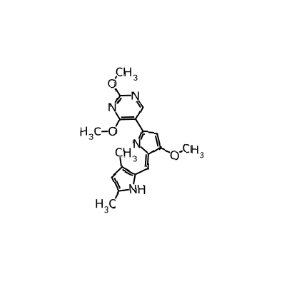 COC1=CC(c2cnc(OC)nc2OC)=N/C1=C\c1[nH]c(C)cc1C